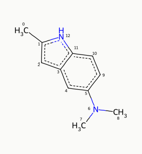 Cc1[c]c2cc(N(C)C)ccc2[nH]1